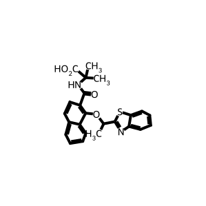 CC(Oc1c(C(=O)NC(C)(C)C(=O)O)ccc2ccccc12)c1nc2ccccc2s1